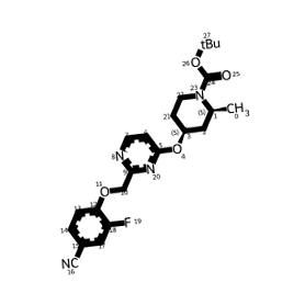 C[C@H]1C[C@@H](Oc2ccnc(COc3ccc(C#N)cc3F)n2)CCN1C(=O)OC(C)(C)C